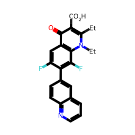 CCc1c(C(=O)O)c(=O)c2cc(F)c(-c3ccc4ncccc4c3)c(F)c2n1CC